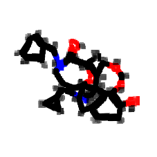 O=C1[C@H]2OC3(CCCN1Cc1ccccc1)C1Cc4ccc(O)c5c4C3(CCN1CC1CC1)C2COCO5